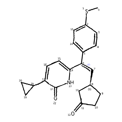 CSc1ccc(/C(=C/[C@H]2CCC(=O)C2)c2ccc(C3CC3)c(=O)[nH]2)cc1